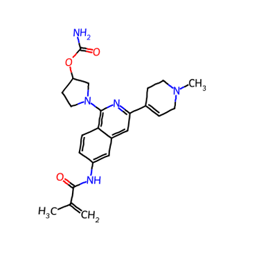 C=C(C)C(=O)Nc1ccc2c(N3CCC(OC(N)=O)C3)nc(C3=CCN(C)CC3)cc2c1